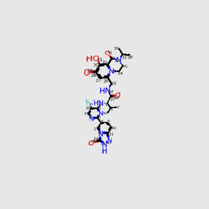 CC(C)[C@H](Nc1nc(-c2ccc3n[nH]c(=O)n3c2)ncc1F)C(=O)NCc1cc(=O)c(O)c2n1CCN(C(C)C)C2=O